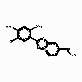 COc1cc(OC)c(-c2cn3ccc(NC=O)cc3n2)cc1Cl